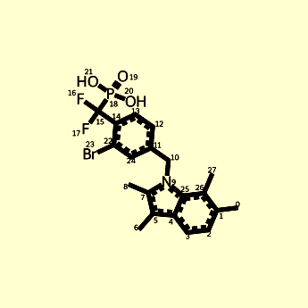 Cc1ccc2c(C)c(C)n(Cc3ccc(C(F)(F)P(=O)(O)O)c(Br)c3)c2c1C